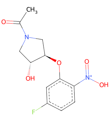 CC(=O)N1C[C@@H](O)[C@H](Oc2cc(F)ccc2[N+](=O)O)C1